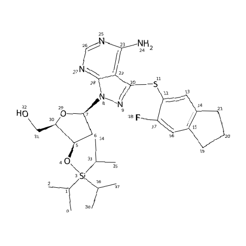 CC(C)[Si](O[C@@H]1C[C@H](n2nc(Sc3cc4c(cc3F)CCC4)c3c(N)ncnc32)O[C@@H]1CO)(C(C)C)C(C)C